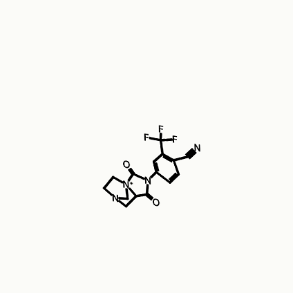 N#Cc1ccc(N2C(=O)C3CN4CC[N+]3(C4)C2=O)cc1C(F)(F)F